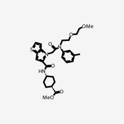 COCCOCCN(C(=O)Cn1c(C(=O)N[C@H]2CC[C@H](C(=O)OC)CC2)cc2sccc21)c1cccc(C)c1